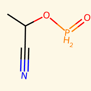 CC(C#N)O[PH2]=O